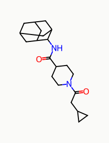 O=C(NC1C2CC3CC(C2)CC1C3)C1CCN(C(=O)CC2CC2)CC1